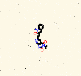 CC(C)n1c(=O)c2cc(CCc3cc4ccccc4n(C)c3=O)ncc2n(C)c1=O